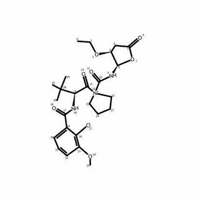 CCO[C@H]1CC(=O)O[C@H]1NC(=O)[N+]1(C(=O)[C@@H](NC(=O)c2cccc(OC)c2Cl)C(C)(C)C)CCCC1